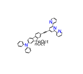 CCCCCCCCC1(CCCCCCCC)c2cc(C#Cc3cc(-c4ccccn4)nc(-c4ccccn4)c3)ccc2-c2ccc(N(c3ccccc3)c3ccccc3)cc21